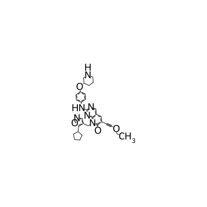 CCOC#Cc1cc2cnc(Nc3ccc(OC4CCCNC4)cc3)nc2n(Cc2cnoc2C2CCCC2)c1=O